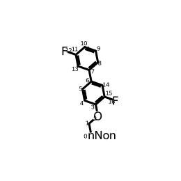 CCCCCCCCCCOc1ccc(-c2cc[c]c(F)c2)cc1F